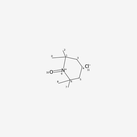 CC1(C)CCCC(C)(C)[N+]1=O.[Cl-]